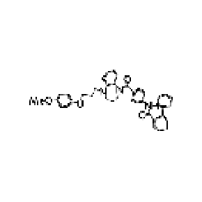 COc1ccc(OCCCN2CCCN(C(=O)c3ccc(NC(=O)c4ccccc4-c4ccccc4)cc3)c3ccccc32)cc1